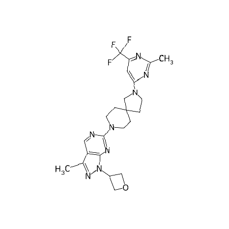 Cc1nc(N2CCC3(CCN(c4ncc5c(C)nn(C6COC6)c5n4)CC3)C2)cc(C(F)(F)F)n1